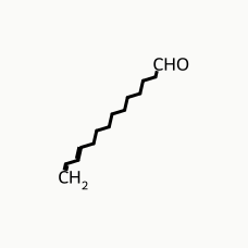 C=CC=CCCCCCCCCCC=O